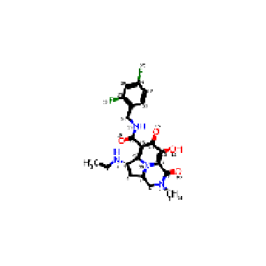 CCN[C@H]1CC2CN(C)C(=O)c3c(O)c(=O)c(C(=O)NCc4ccc(F)cc4F)c1n32